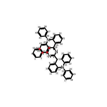 c1ccc(-c2nc(Cc3ccccc3N(c3ccccc3)c3ccccc3)nc(-c3ccccc3N(c3ccccc3)c3ccccc3)n2)cc1